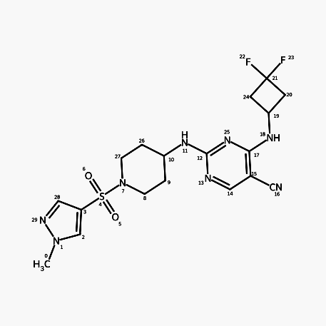 Cn1cc(S(=O)(=O)N2CCC(Nc3ncc(C#N)c(NC4CC(F)(F)C4)n3)CC2)cn1